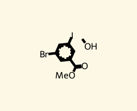 CO.COC(=O)c1cc(Br)cc(I)c1